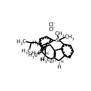 CC1=C(CC(C)C)c2c3cccc2[Si](C)(C)c2cccc4c2C(CC(C)C)=C(C)[C@@H]4[Zr+2][C@@H]13.[Cl-].[Cl-]